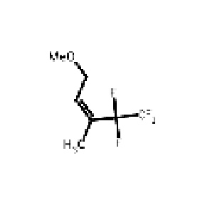 [CH2]OCC=C(C)C(F)(F)C(F)(F)F